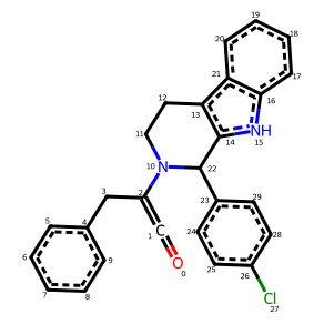 O=C=C(Cc1ccccc1)N1CCc2c([nH]c3ccccc23)C1c1ccc(Cl)cc1